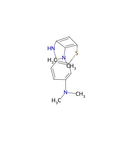 CN(C)C1=C2C=C1Nc1ccc(N(C)C)cc1S2